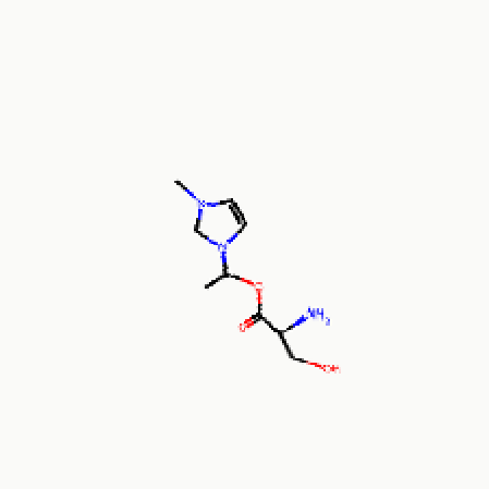 CC(OC(=O)[C@@H](N)CO)N1C=CN(C)C1